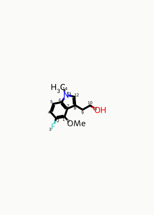 COc1c(F)ccc2c1c(CCO)cn2C